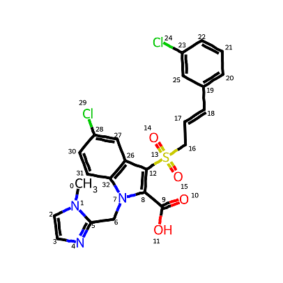 Cn1ccnc1Cn1c(C(=O)O)c(S(=O)(=O)CC=Cc2cccc(Cl)c2)c2cc(Cl)ccc21